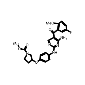 COc1ccc(F)cc1C(=O)c1cnc(Nc2ccc(OC3CCN(C(=O)OC(C)(C)C)C3)cc2)nc1N